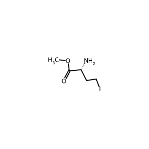 COC(=O)[C@H](N)CCI